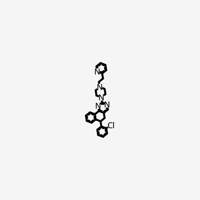 Clc1ccccc1C1Cc2cnc(N3CCN(CCc4ccccn4)CC3)nc2-c2ccccc21